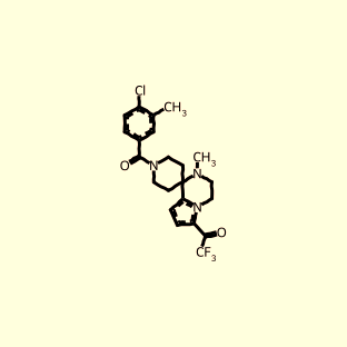 Cc1cc(C(=O)N2CCC3(CC2)c2ccc(C(=O)C(F)(F)F)n2CCN3C)ccc1Cl